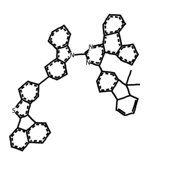 CC1(C)c2cc(-c3nc(-n4c5ccccc5c5cc(-c6ccc7sc8c(c7c6)-c6cccc7cccc-8c67)ccc54)nc4c5ccccc5c5ccccc5c34)ccc2C2C=CC=CC21